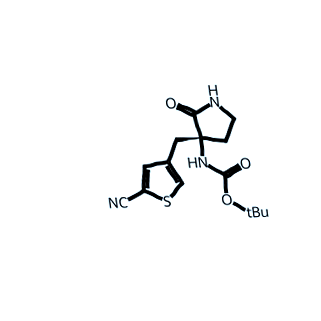 CC(C)(C)OC(=O)N[C@@]1(Cc2csc(C#N)c2)CCNC1=O